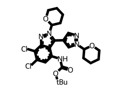 CC(C)(C)OC(=O)Nc1cc(Cl)c(Cl)c2nn(C3CCCCO3)c(-c3cnn(C4CCCCO4)c3)c12